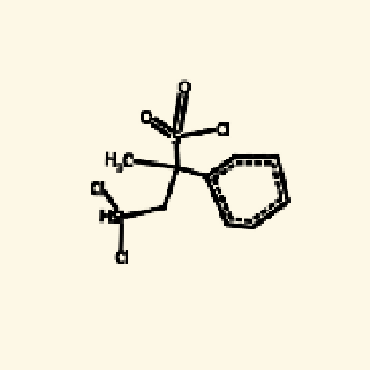 CC(C[SiH](Cl)Cl)(c1ccccc1)S(=O)(=O)Cl